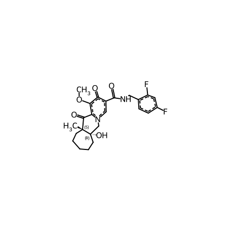 COc1c2n(cc(C(=O)NCc3ccc(F)cc3F)c1=O)C[C@@]1(O)CCCCC[C@]1(C)C2=O